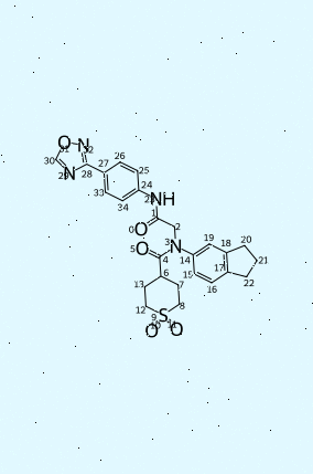 O=C(CN(C(=O)C1CCS(=O)(=O)CC1)c1ccc2c(c1)CCC2)Nc1ccc(-c2ncon2)cc1